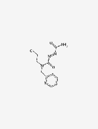 NC(=O)N=NC(=O)N(CCCl)Cc1ccccn1